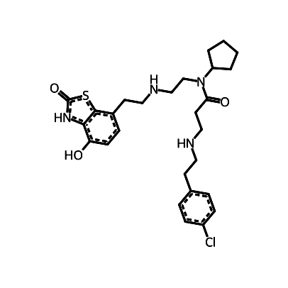 O=C(CCNCCc1ccc(Cl)cc1)N(CCNCCc1ccc(O)c2[nH]c(=O)sc12)C1CCCC1